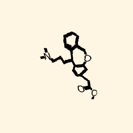 COC(=O)Cc1ccc2c(c1)OCc1ccccc1C2=CCCN(C)C